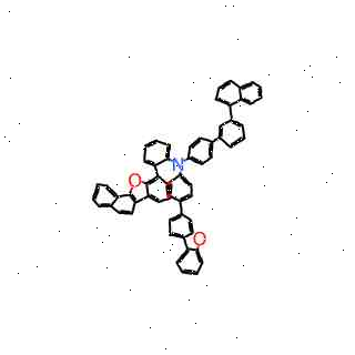 c1cc(-c2ccc(N(c3ccc(-c4ccc5c(c4)oc4ccccc45)cc3)c3ccccc3-c3cccc4c3oc3c5ccccc5ccc43)cc2)cc(-c2cccc3ccccc23)c1